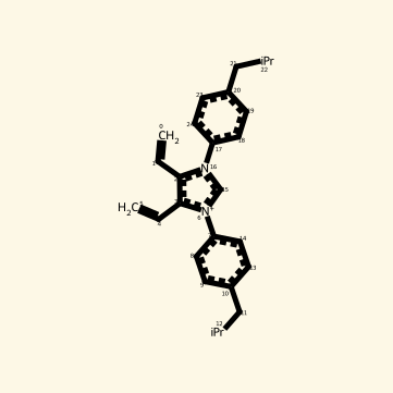 C=Cc1c(C=C)[n+](-c2ccc(CC(C)C)cc2)cn1-c1ccc(CC(C)C)cc1